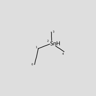 C[CH2][SnH]([CH3])[CH3]